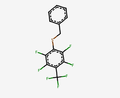 Fc1c(F)c(C(F)(F)F)c(F)c(F)c1SCc1ccccc1